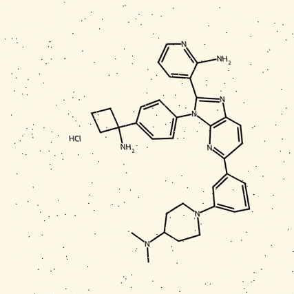 CN(C)C1CCN(c2cccc(-c3ccc4nc(-c5cccnc5N)n(-c5ccc(C6(N)CCC6)cc5)c4n3)c2)CC1.Cl